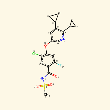 CS(=O)(=O)NC(=O)c1cc(Cl)c(Oc2cnc(C3CC3)c(C3CC3)c2)cc1F